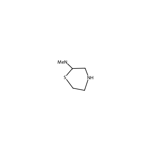 CN[C]1CNCCS1